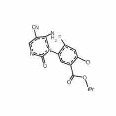 CC(C)OC(=O)c1cc(-n2c(N)c(C#N)cnc2=O)c(F)cc1Cl